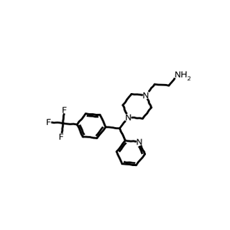 NCCN1CCN(C(c2ccc(C(F)(F)F)cc2)c2ccccn2)CC1